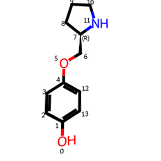 Oc1ccc(OC[C@H]2CCCN2)cc1